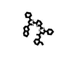 C=Cc1ccccc1/C=C(\C)c1cc(-c2ccccc2)nc(-c2cccc(-c3nc(-c4ccccc4)cc(-c4ccc5ccccc5c4)n3)n2)n1